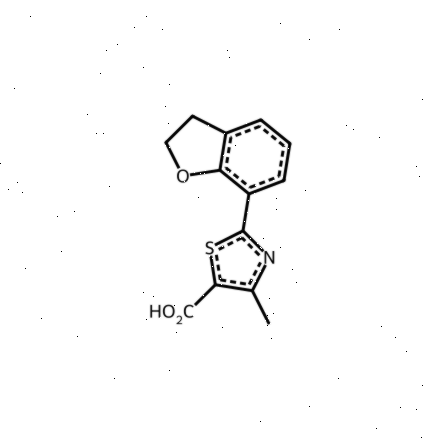 Cc1nc(-c2cccc3c2OCC3)sc1C(=O)O